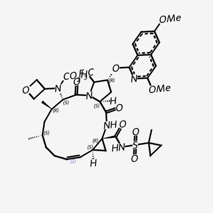 COc1ccc2c(O[C@@H]3C[C@H]4C(=O)N[C@]5(C(=O)NS(=O)(=O)C6(C)CC6)C[C@H]5/C=C\CC[C@H](C)C[C@@H](C)[C@H](N(C(=O)O)C5COC5)C(=O)N4C3C(F)(F)F)nc(OC)cc2c1